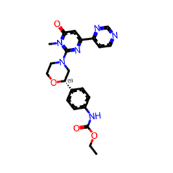 CCOC(=O)Nc1ccc([C@H]2CN(c3nc(-c4ccncn4)cc(=O)n3C)CCO2)cc1